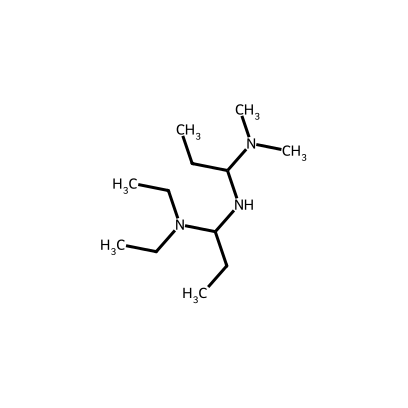 CCC(NC(CC)N(CC)CC)N(C)C